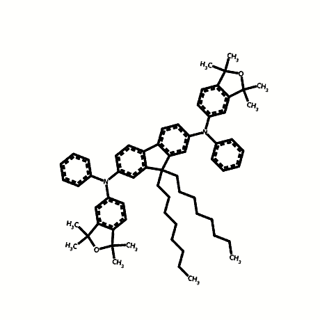 CCCCCCCCC1(CCCCCCCC)c2cc(N(c3ccccc3)c3ccc4c(c3)C(C)(C)OC4(C)C)ccc2-c2ccc(N(c3ccccc3)c3ccc4c(c3)C(C)(C)OC4(C)C)cc21